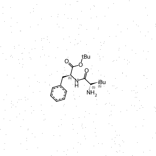 CC[C@H](C)[C@H](N)C(=O)N[C@@H](Cc1ccccc1)C(=O)OC(C)(C)C